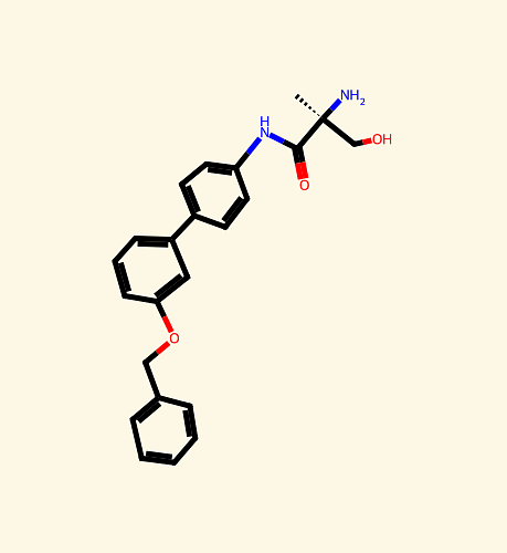 C[C@](N)(CO)C(=O)Nc1ccc(-c2cccc(OCc3ccccc3)c2)cc1